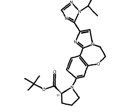 CC(C)n1ncnc1-c1cn2c(n1)-c1ccc(N3CCC[C@H]3C(=O)OC(C)(C)C)cc1OCC2